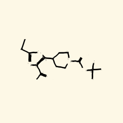 CCc1nc(C(=O)O)c(C2CCN(C(=O)OC(C)(C)C)CC2)[nH]1